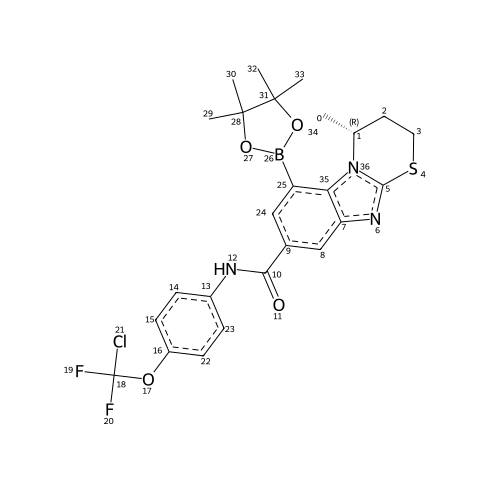 C[C@@H]1CCSc2nc3cc(C(=O)Nc4ccc(OC(F)(F)Cl)cc4)cc(B4OC(C)(C)C(C)(C)O4)c3n21